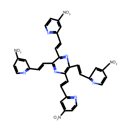 O=[N+]([O-])c1ccnc(C=Cc2nc(C=Cc3cc([N+](=O)[O-])ccn3)c(C=Cc3cc([N+](=O)[O-])ccn3)nc2C=Cc2cc([N+](=O)[O-])ccn2)c1